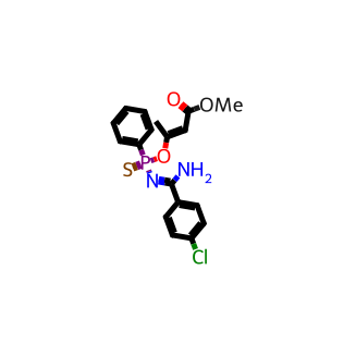 COC(=O)C=C(C)OP(=S)(N=C(N)c1ccc(Cl)cc1)c1ccccc1